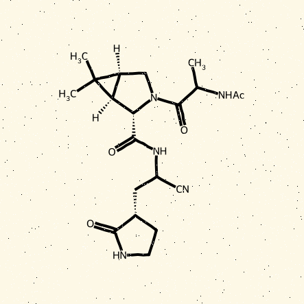 CC(=O)NC(C)C(=O)N1C[C@H]2[C@@H]([C@H]1C(=O)NC(C#N)C[C@@H]1CCNC1=O)C2(C)C